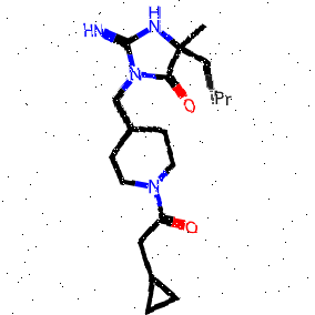 CC(C)CC1(C)NC(=N)N(CC2CCN(C(=O)CC3CC3)CC2)C1=O